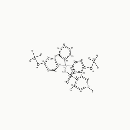 Cc1ccc(S(=O)(=O)OS(c2ccc(OC(C)(C)C)cc2)(c2ccc(OC(C)(C)C)cc2)c2ccccn2)c(C)c1